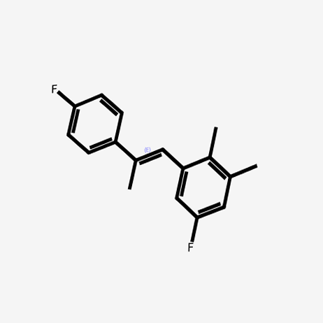 C/C(=C\c1cc(F)cc(C)c1C)c1ccc(F)cc1